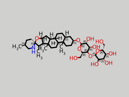 C[C@H]1CC[C@]2(NC1)O[C@H]1C[C@H]3[C@@H]4CC[C@H]5C[C@@H](O[C@@H]6O[C@H](CO)[C@H](O[C@@H]7O[C@H](CO)[C@@H](O)[C@H](O)[C@H]7O)[C@H](O)[C@H]6O)CC[C@]5(C)[C@H]4CC[C@]3(C)[C@H]1[C@@H]2C